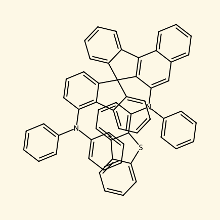 c1ccc(N(c2ccccc2)c2cccc3c2-c2ccccc2C32c3ccccc3-c3c2c(N(c2ccccc2)c2cccc4c2sc2ccccc24)cc2ccccc32)cc1